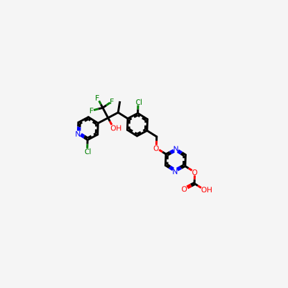 CC(c1ccc(COc2cnc(OC(=O)O)cn2)cc1Cl)C(O)(c1ccnc(Cl)c1)C(F)(F)F